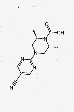 C[C@@H]1CN(c2ncc(C#N)cn2)C[C@@H](C)N1C(=O)O